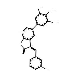 COc1cc(-c2cnc3c(c2)/C(=C/c2cccc(C#N)c2)C(=O)N3)cc(OC)c1OC